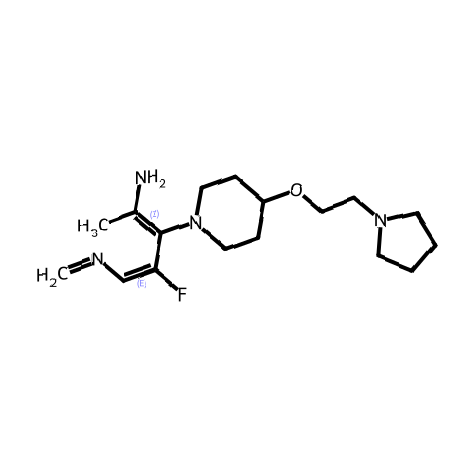 C=N/C=C(F)\C(=C(/C)N)N1CCC(OCCN2CCCC2)CC1